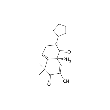 CC1(C)C(=O)C(C#N)=C[C@@]2(P)C(=O)N(C3CCCC3)CC=C12